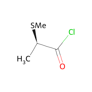 CS[C@H](C)C(=O)Cl